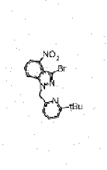 CC(C)(C)c1cccc(Cn2nc(Br)c3c([N+](=O)[O-])cccc32)n1